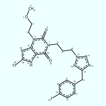 COCCn1c(=O)n(CCCn2nnc(Cc3ccc(F)cc3)n2)c(=O)c2[nH]c(Cl)nc21